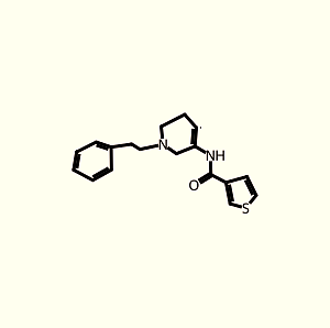 O=C(NC1=[C]CCN(CCc2ccccc2)C1)c1ccsc1